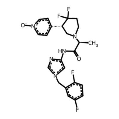 C[C@@H](C(=O)Nc1cn(Cc2cc(F)ccc2F)cn1)N1CCC(F)(F)[C@@H](c2cc[n+]([O-])cc2)C1